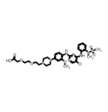 COc1cc(N2CCN(CCOCCOCC(=O)O)CC2)ccc1Nc1ncc(Cl)c(Nc2ccccc2N(C)S(C)(=O)=O)n1